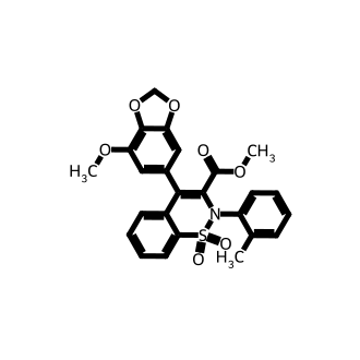 COC(=O)C1=C(c2cc(OC)c3c(c2)OCO3)c2ccccc2S(=O)(=O)N1c1ccccc1C